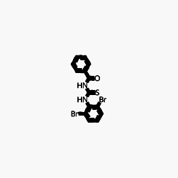 O=C(NC(=S)Nc1c(Br)cccc1Br)c1ccccc1